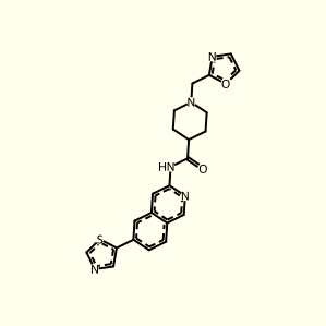 O=C(Nc1cc2cc(-c3cncs3)ccc2cn1)C1CCN(Cc2ncco2)CC1